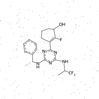 CC(Nc1nc(N[C@H](C)c2ccccc2)nc(C2=C(F)C(O)CCC2)n1)C(F)(F)F